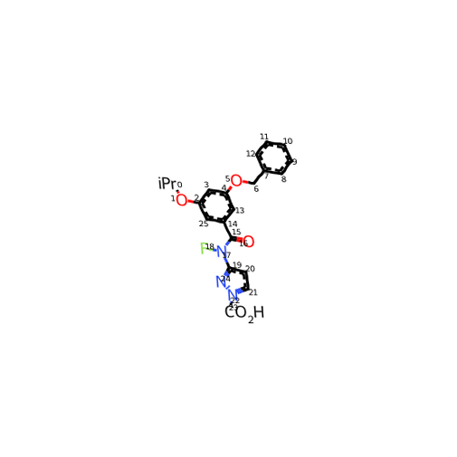 CC(C)Oc1cc(OCc2ccccc2)cc(C(=O)N(F)c2ccn(C(=O)O)n2)c1